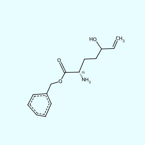 C=CC(O)CC[C@H](N)C(=O)OCc1ccccc1